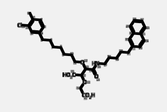 Cc1ccc(CCCCCCCOC(C(=O)NCCCCCc2ccc3ccccc3c2)C(OCC(=O)O)C(=O)O)cc1Cl